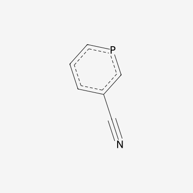 N#Cc1cccpc1